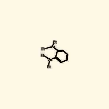 CC[As](CC)c1ccccc1[As](CC)CC